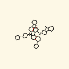 c1ccc(-c2ccc(N(c3ccc4c(c3)sc3ccccc34)c3ccccc3-c3ccccc3N(c3ccc(-c4ccccc4)cc3)c3ccc4c(c3)sc3ccccc34)cc2)cc1